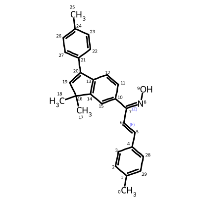 Cc1ccc(/C=C/C(=N/O)c2ccc3c(c2)C(C)(C)C=C3c2ccc(C)cc2)cc1